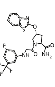 NC(=O)[C@@H]1C[C@@H](Oc2nc3ccccc3s2)CN1C(=O)CNc1cc(F)cc(C(F)(F)F)c1